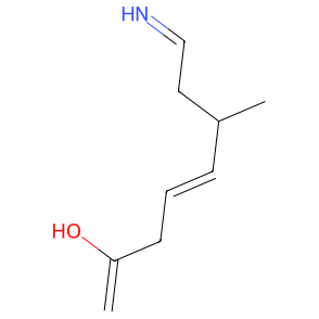 C=C(O)C/C=C/C(C)CC=N